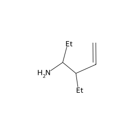 C=CC(CC)C(N)CC